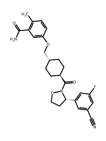 Cc1ccc(OC[C@H]2CC[C@H](C(=O)N3OCC[C@H]3c3cc(F)cc(C#N)c3)CC2)cc1C(N)=O